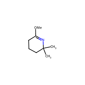 COC1=NC(C)(C)CCC1